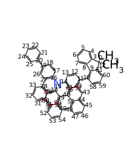 CC1(C)c2ccccc2-c2c(-c3ccc(N(c4ccc(-c5ccccc5)cc4-c4ccccc4)c4ccccc4-c4cccc5cccc(-c6ccccc6)c45)cc3)cccc21